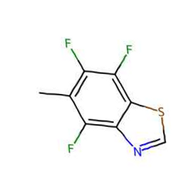 Cc1c(F)c(F)c2scnc2c1F